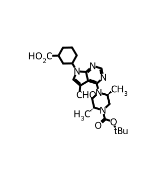 C[C@@H]1CN(c2ncnc3c2c(C=O)cn3C2CCCC(C(=O)O)C2)[C@@H](C)CN1C(=O)OC(C)(C)C